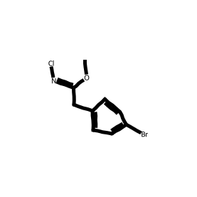 CO/C(Cc1ccc(Br)cc1)=N\Cl